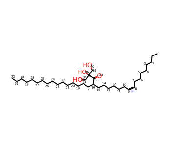 CCCCCCCC/C=C\CCCCCCC(CCCCCCCCCCCCCCCC)C(=O)C(O)(CO)CO